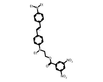 CCN(CC)c1ccc(/C=C/c2ccc(N(CC)CCOC(=O)c3cc([N+](=O)[O-])cc([N+](=O)[O-])c3)cc2)cc1